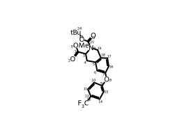 COC(=O)C1Cc2cc(Oc3ccc(C(F)(F)F)cc3)ccc2CN1C(=O)OC(C)(C)C